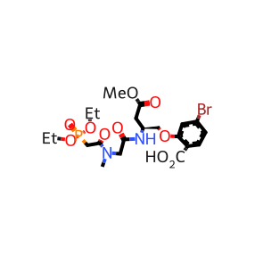 CCOP(=O)(CC(=O)N(C)CC(=O)N[C@H](COc1cc(Br)ccc1C(=O)O)CC(=O)OC)OCC